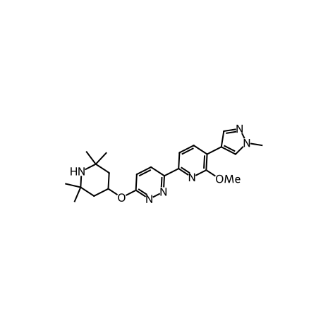 COc1nc(-c2ccc(OC3CC(C)(C)NC(C)(C)C3)nn2)ccc1-c1cnn(C)c1